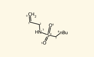 C=CCNS(=O)(=O)CCCCC